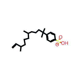 C=CC(C)CCCC(C)CCCC(C)(C)c1ccc(S(=O)(=O)O)cc1